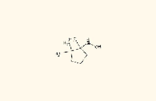 CC1(C)CCCC1(C)[SiH]O